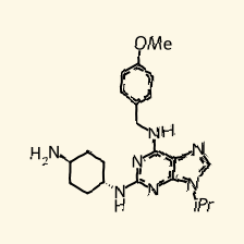 COc1ccc(CNc2nc(N[C@H]3CC[C@H](N)CC3)nc3c2ncn3C(C)C)cc1